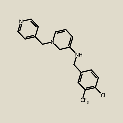 FC(F)(F)c1cc(CNC2=CC=CN(Cc3ccncc3)C2)ccc1Cl